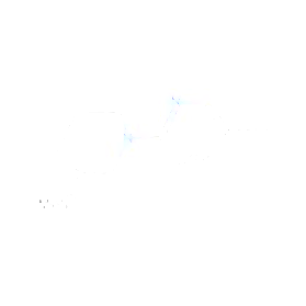 CSC1CCCN(c2ccc(C)cn2)C1